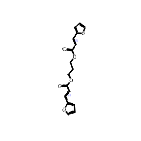 O=C(/C=C/c1ccco1)OCCCOC(=O)/C=C/c1ccco1